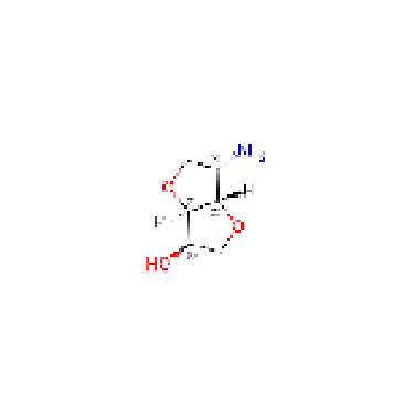 N[C@H]1CO[C@H]2[C@H]1OC[C@H]2O